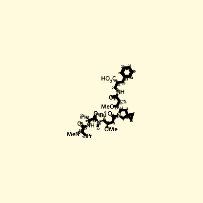 CC[C@H](C)[C@@H]([C@@H](CC(=O)N1CC2(CC2)C[C@H]1C(OC)[C@@H](C)C(=O)NC[C@@H](Cc1ccccc1)C(=O)O)OC)N(C)C(=O)[C@@H](NC(=O)[C@@H](NC)C(C)C)C(C)C